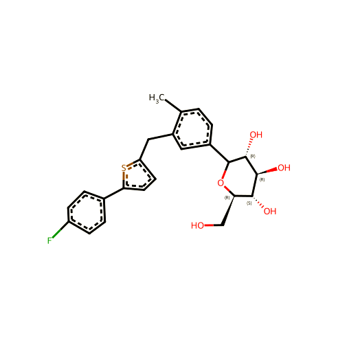 Cc1ccc(C2O[C@H](CO)[C@@H](O)[C@H](O)[C@H]2O)cc1Cc1ccc(-c2ccc(F)cc2)s1